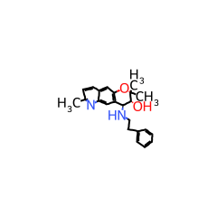 Cc1ccc2cc3c(cc2n1)[C@H](NCCc1ccccc1)[C@@H](O)C(C)(C)O3